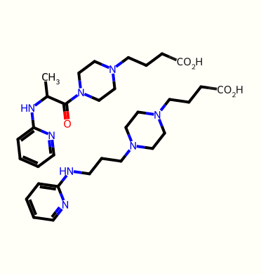 CC(Nc1ccccn1)C(=O)N1CCN(CCCC(=O)O)CC1.O=C(O)CCCN1CCN(CCCNc2ccccn2)CC1